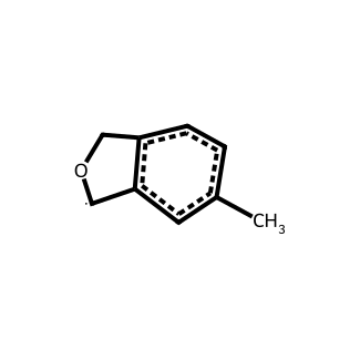 Cc1ccc2c(c1)[CH]OC2